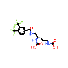 O=C(O)NCCC[C@@H](CNC(=O)c1ccc(C(F)(F)F)c(C(F)(F)F)c1)NC(=O)O